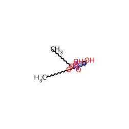 CCCCCCCCCCCCCCOCC(CNC(=O)C(Cc1ccc(O)cc1)NC(=O)O)OCCCCCCCCCCCCCC